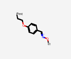 CCCC(C)CCOc1ccc(/C=N/OCC)cc1